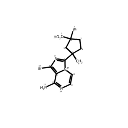 CC(C)C1(C(=O)O)CCC(C)(c2nc(Br)c3c(N)nccn23)C1